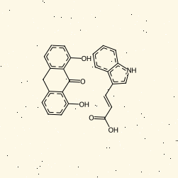 O=C(O)/C=C/c1c[nH]c2ccccc12.O=C1c2c(O)cccc2Cc2cccc(O)c21